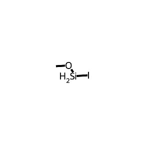 CO[SiH2]I